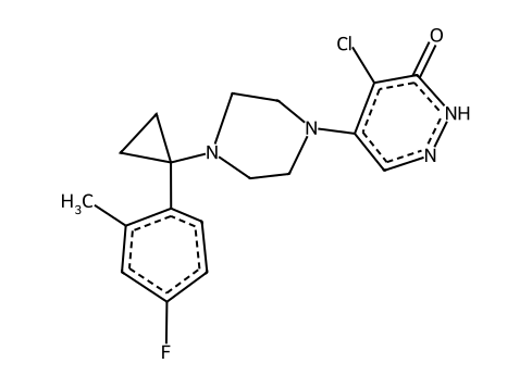 Cc1cc(F)ccc1C1(N2CCN(c3cn[nH]c(=O)c3Cl)CC2)CC1